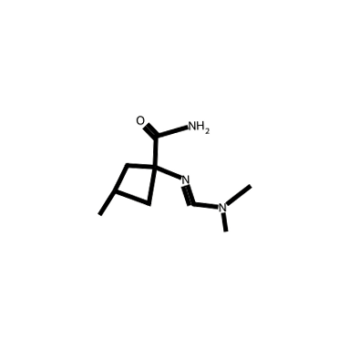 CC1CC(N=CN(C)C)(C(N)=O)C1